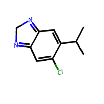 CC(C)c1cc2c(cc1Cl)=NCN=2